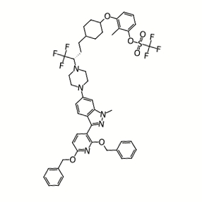 Cc1c(OC2CCC(CC[C@H](N3CCN(c4ccc5c(-c6ccc(OCc7ccccc7)nc6OCc6ccccc6)nn(C)c5c4)CC3)C(F)(F)F)CC2)cccc1OS(=O)(=O)C(F)(F)F